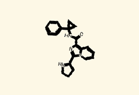 O=C(NC1(c2ccccc2)CC1)c1nc(C2CCCN2)n2ccccc12